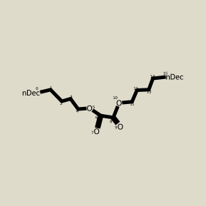 CCCCCCCCCCCCCCOC(=O)C(=O)OCCCCCCCCCCCCCC